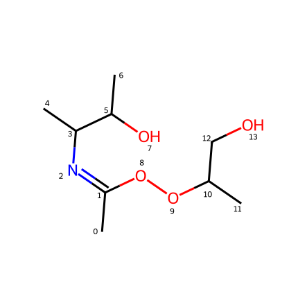 C/C(=N/C(C)C(C)O)OOC(C)CO